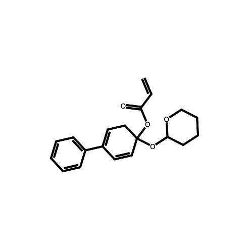 C=CC(=O)OC1(OC2CCCCO2)C=CC(c2ccccc2)=CC1